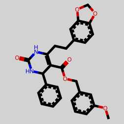 COc1cccc(COC(=O)C2=C(CCc3ccc4c(c3)OCO4)NC(=O)NC2c2ccccc2)c1